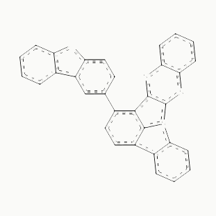 c1ccc2nc3c(nc2c1)c1c(-c2ccc4oc5ccccc5c4c2)ccc2c4ccccc4n3c21